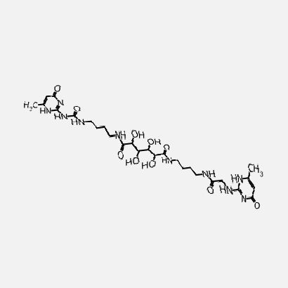 Cc1cc(=O)nc(NCC(=O)NCCCCNC(=O)C(O)C(O)C(O)C(O)C(=O)NCCCCNC(=O)Nc2nc(=O)cc(C)[nH]2)[nH]1